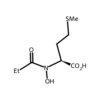 CCC(=O)N(O)[C@@H](CCSC)C(=O)O